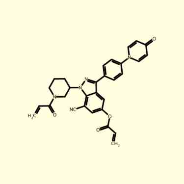 C=CC(=O)Oc1cc(C#N)c2c(c1)c(-c1ccc(-n3ccc(=O)cc3)cc1)nn2C1CCCN(C(=O)C=C)C1